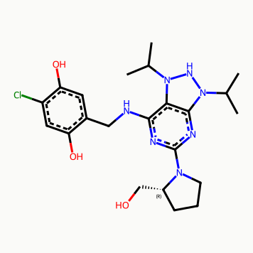 CC(C)N1NN(C(C)C)c2c(NCc3cc(O)c(Cl)cc3O)nc(N3CCC[C@@H]3CO)nc21